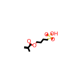 C=C(C)C(=O)OCCCCS(=O)(=O)O